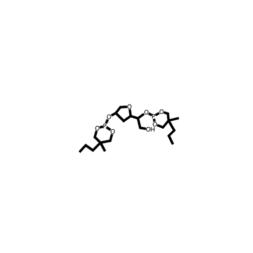 CCCC1(C)COP(OC2COC(C(CO)OP3OCC(C)(CCC)CO3)C2)OC1